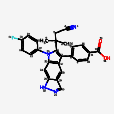 CC(C)(CC#N)c1c(-c2ccc(C(=O)O)cc2)c2cc3cn[nH]c3cc2n1-c1ccc(F)cc1